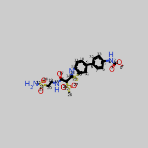 COC(=O)Nc1ccc(-c2ccc3nc(C(C(=O)NCCS(N)(=O)=O)S(C)(=O)=O)sc3c2)cc1